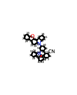 N#Cc1cccc(C#N)c1-c1ccc(-n2c3ccccc3c3c4oc5ccccc5c4ccc32)cc1-n1c2ccccc2c2ccccc21